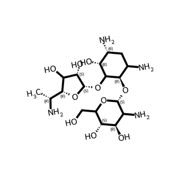 C[C@@H](N)[C@H]1O[C@@H](OC2[C@H](O[C@H]3OC(CO)[C@@H](O)[C@H](O)C3N)C(N)C[C@@H](N)[C@H]2O)[C@@H](O)C1O